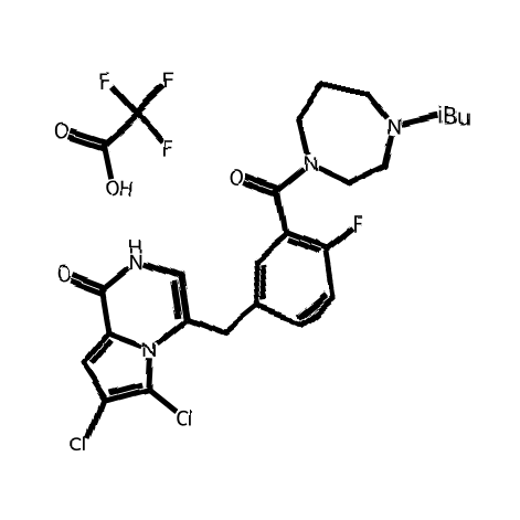 CCC(C)N1CCCN(C(=O)c2cc(Cc3c[nH]c(=O)c4cc(Cl)c(Cl)n34)ccc2F)CC1.O=C(O)C(F)(F)F